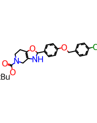 CC(C)(C)OC(=O)N1CCC2=C(C1)NC(c1ccc(OCc3ccc(Cl)cc3)cc1)O2